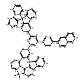 CC1(C)c2cccc3c2-c2c1ccc1c4ccccc4n(c21)-c1cc(-c2nc(-c4ccc(-c5ccc6ccccc6c5)cc4)nc(-c4ccc5c(c4)-c4ccccc4C5(c4ccccc4)c4ccccc4)n2)ccc1-3